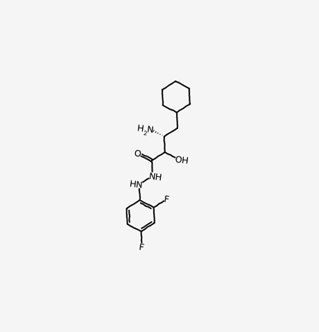 N[C@H](CC1CCCCC1)C(O)C(=O)NNc1ccc(F)cc1F